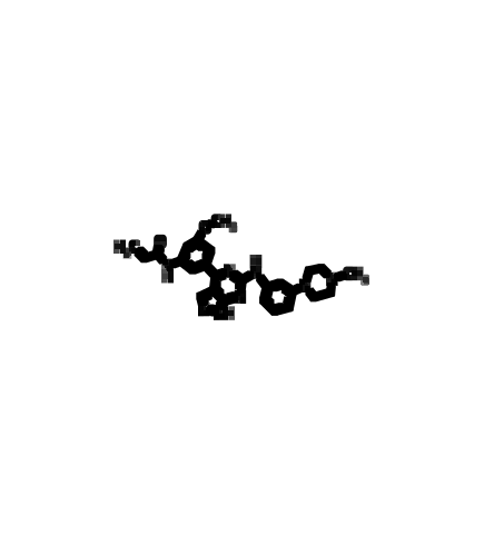 C=CC(=O)Nc1cc(OC)cc(-c2nc(Nc3cccc(N4CCN(C)CC4)c3)nc3[nH]ncc23)c1